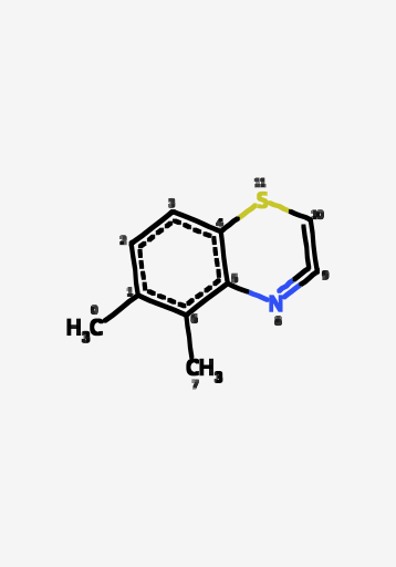 Cc1ccc2c(c1C)N=C=CS2